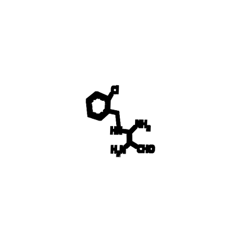 N/C(C=O)=C(/N)NCc1ccccc1Cl